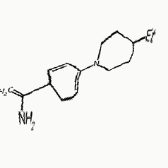 C=C(N)C1C=CC(N2CCC(CC)CC2)=CC1